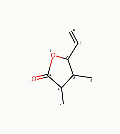 C=CC1OC(=O)C(C)C1C